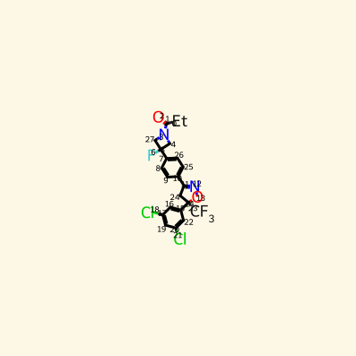 CCC(=O)N1CC(F)(c2ccc(C3=NOC(c4cc(Cl)cc(Cl)c4)(C(F)(F)F)C3)cc2)C1